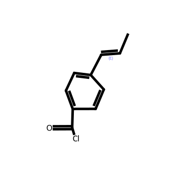 C/C=C/c1ccc(C(=O)Cl)cc1